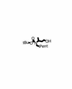 CCCC(C)CN(C(=O)OC(C)(C)C)C(C)CCO